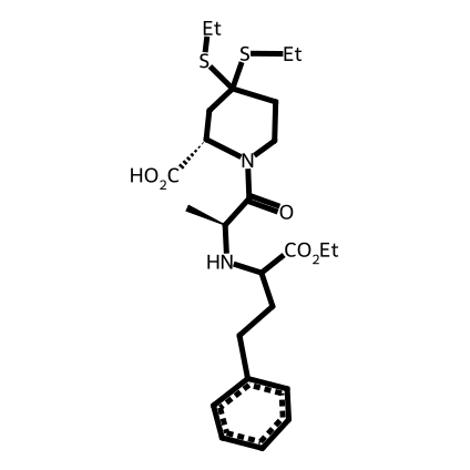 CCOC(=O)C(CCc1ccccc1)N[C@@H](C)C(=O)N1CCC(SCC)(SCC)C[C@H]1C(=O)O